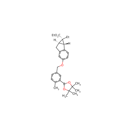 CCOC(=O)[C@@]1(CC)[C@@H]2Cc3cc(OCc4ccc(C)c(B5OC(C)(C)C(C)(C)O5)c4)ccc3[C@H]21